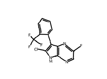 Fc1cnc2[nH]c(Cl)c(-c3ccccc3C(F)(F)F)c2n1